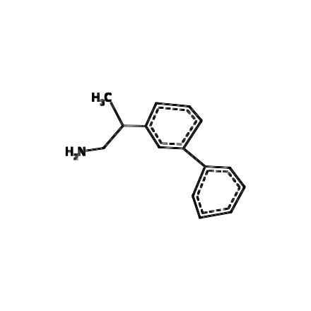 CC(CN)c1cccc(-c2ccccc2)c1